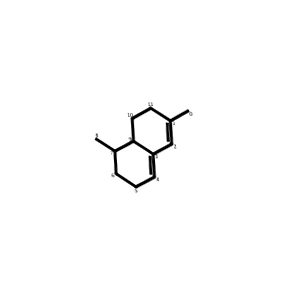 CC1=CC2=CCCC(C)C2CC1